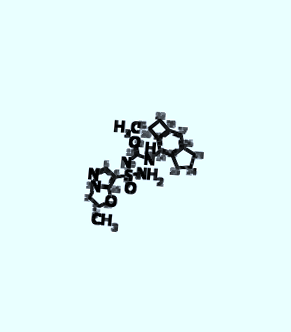 C[C@@H]1Cn2ncc([S@@](N)(=O)=NC(=O)Nc3c4c(cc5c3[C@H](C)C5)CCC4)c2O1